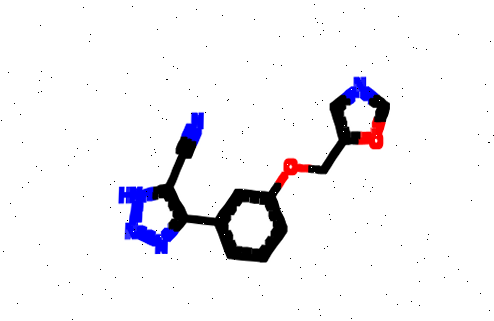 N#Cc1[nH]nnc1-c1cccc(OCc2cnco2)c1